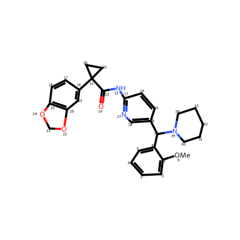 COc1ccccc1C(c1ccc(NC(=O)C2(c3ccc4c(c3)OCO4)CC2)nc1)N1CCCCC1